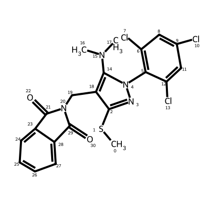 CSc1nn(-c2c(Cl)cc(Cl)cc2Cl)c(N(C)C)c1CN1C(=O)c2ccccc2C1=O